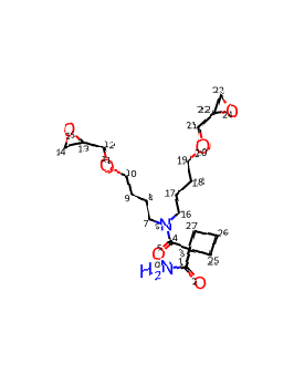 NC(=O)C1(C(=O)N(CCCCOCC2CO2)CCCCOCC2CO2)CCC1